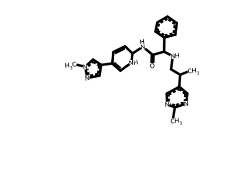 Cc1ncc(C(C)CNC(C(=O)NC2C=CC(c3cnn(C)c3)=CN2)c2ccccc2)cn1